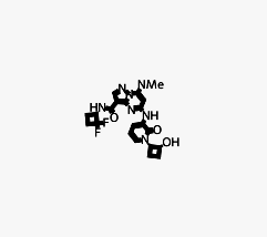 CNc1cc(Nc2cccn([C@@H]3CC[C@@H]3O)c2=O)nc2c(C(=O)N[C@H]3CCC3(F)F)cnn12